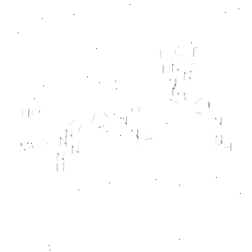 COCC1(Nc2ncc3c(-c4ccc(CN5CCN(C)CC5O[C@H]5CC[C@H](c6cc(-c7ccc(CN8CCN(C)CC8)cc7)c7cnc(NC(C)C(F)F)nn76)CC5)cc4)cc([C@H]4CC[C@H](O)CC4)n3n2)CC1